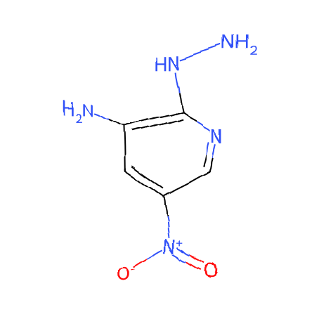 NNc1ncc([N+](=O)[O-])cc1N